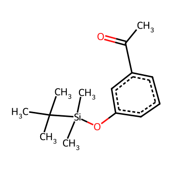 CC(=O)c1cccc(O[Si](C)(C)C(C)(C)C)c1